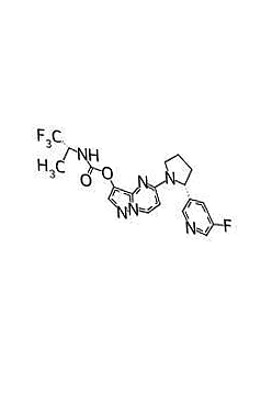 C[C@@H](NC(=O)Oc1cnn2ccc(N3CCC[C@@H]3c3cncc(F)c3)nc12)C(F)(F)F